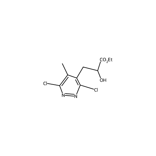 CCOC(=O)C(O)Cc1c(Cl)nnc(Cl)c1C